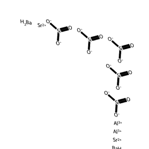 O=[Si]([O-])[O-].O=[Si]([O-])[O-].O=[Si]([O-])[O-].O=[Si]([O-])[O-].O=[Si]([O-])[O-].[Al+3].[Al+3].[BaH2].[BaH2].[Sr+2].[Sr+2]